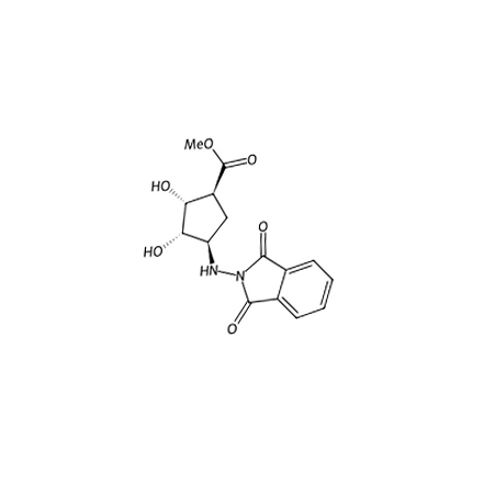 COC(=O)[C@H]1C[C@@H](NN2C(=O)c3ccccc3C2=O)[C@H](O)[C@@H]1O